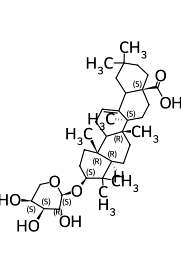 CC1(C)CC[C@]2(C(=O)O)CC[C@]3(C)C(=CCC4[C@@]5(C)CC[C@H](O[C@@H]6OC[C@H](O)[C@H](O)[C@H]6O)C(C)(C)[C@@H]5CC[C@]43C)C2C1